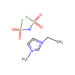 CCn1cc[n+](C)c1.O=S(=O)(F)[N-]S(=O)(=O)F